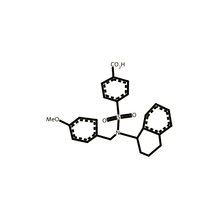 COc1ccc(CN(C2CCCc3ccccc32)S(=O)(=O)c2ccc(C(=O)O)cc2)cc1